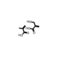 C=C(C)C(=O)O.C=C(CO)C(=O)O